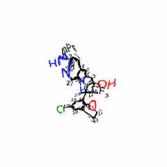 CCCNc1cc2cc(CC(O)(CC(C)(C)c3cc(Cl)cc4c3OCC4)C(F)(F)F)[nH]c2cn1